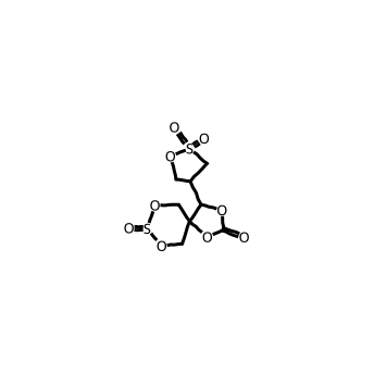 O=C1OC(C2COS(=O)(=O)C2)C2(COS(=O)OC2)O1